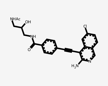 CC(=O)NCC(O)CNC(=O)c1ccc(C#Cc2c(N)ncc3ccc(Cl)cc23)cc1